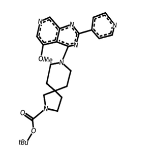 COc1cncc2nc(-c3ccncc3)nc(N3CCC4(CCN(C(=O)OC(C)(C)C)C4)CC3)c12